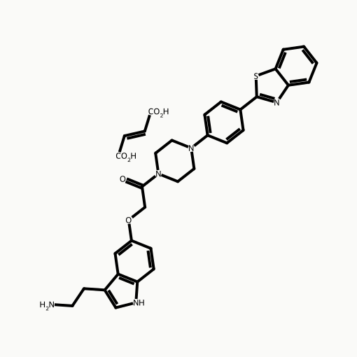 NCCc1c[nH]c2ccc(OCC(=O)N3CCN(c4ccc(-c5nc6ccccc6s5)cc4)CC3)cc12.O=C(O)/C=C/C(=O)O